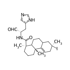 C[C@]1(I)CC=C2C(CCC3[C@](C)(C(=O)N[C@H](C=O)Cc4cnc[nH]4)CCC[C@@]23C)C1